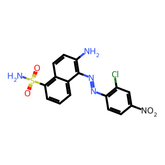 Nc1ccc2c(S(N)(=O)=O)cccc2c1N=Nc1ccc([N+](=O)[O-])cc1Cl